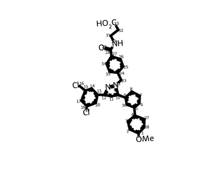 COc1ccc(-c2cccc(-c3cc(-c4cc(Cl)cc(Cl)c4)nn3Cc3ccc(C(=O)NCCC(=O)O)cc3)c2)cc1